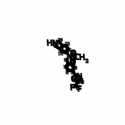 CS(=O)(=O)N(Cc1ccc(-c2nnc(C(F)F)o2)cc1)c1ccc2c(c1)CNC2